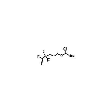 CCC(C)C(=O)OCCCC(F)(F)C(F)F